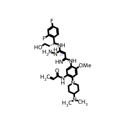 C=CC(=O)Nc1cc(NC(=N)/C=C(\NN)N[C@H](CCO)c2ccc(F)cc2F)c(OC)cc1N1CCC(N(C)C)CC1